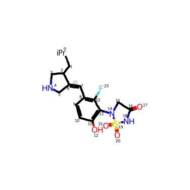 CC(C)CC1CNC/C1=C\c1ccc(O)c(N2CC(=O)NS2(=O)=O)c1F